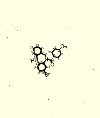 CO[C@H]1CC[C@H](C(=O)N2Cc3cccnc3Nc3ccc(Br)cc32)CC1